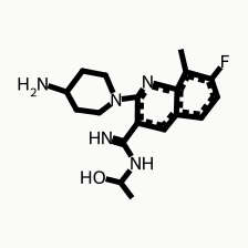 Cc1c(F)ccc2cc(C(=N)NC(C)O)c(N3CCC(N)CC3)nc12